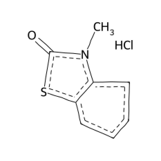 Cl.Cn1c(=O)sc2ccccc21